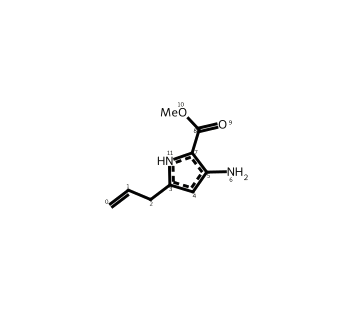 C=CCc1cc(N)c(C(=O)OC)[nH]1